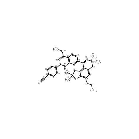 CCOc1cc2c(c3c1OC(C)(C)C3)C(c1ccc(C(=O)OC)c(NCc3ccc(C#N)cc3)c1)=NC(C)(C)C2